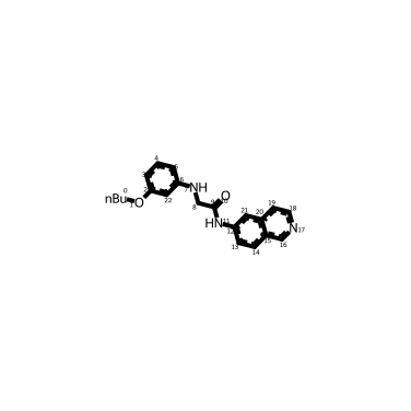 CCCCOc1cccc(NCC(=O)Nc2ccc3cnccc3c2)c1